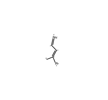 C/C(=C\C=N)C(C)C